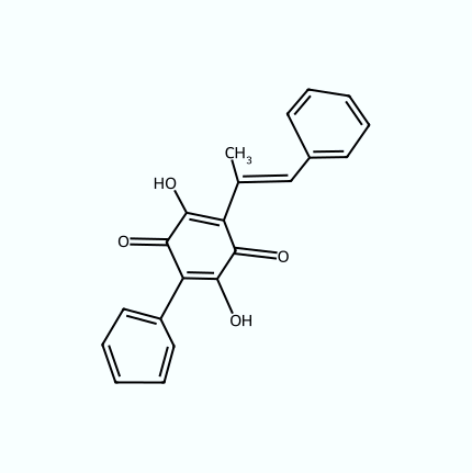 CC(=Cc1ccccc1)C1=C(O)C(=O)C(c2ccccc2)=C(O)C1=O